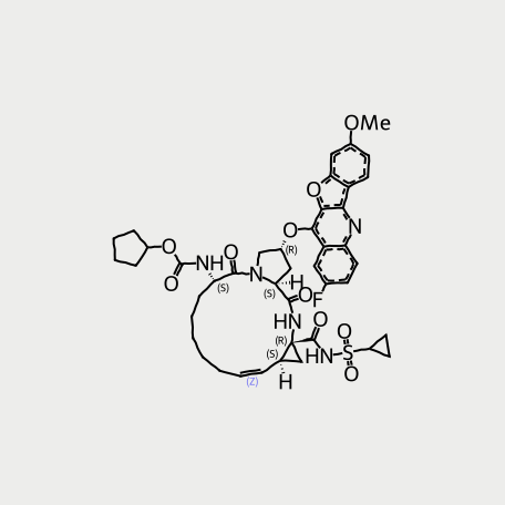 COc1ccc2c(c1)oc1c(O[C@@H]3C[C@H]4C(=O)N[C@]5(C(=O)NS(=O)(=O)C6CC6)C[C@H]5/C=C\CCCCC[C@H](NC(=O)OC5CCCC5)C(=O)N4C3)c3cc(F)ccc3nc12